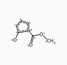 COC(=O)n1cccc1[O]